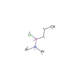 CC(C)N(C(C)C)P(Cl)CCC#N